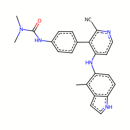 Cc1c(Nc2ccnc(C#N)c2-c2ccc(NC(=O)N(C)C)cc2)ccc2[nH]ccc12